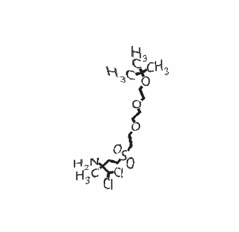 CC(C)(C)OCCOCCOCCS(=O)(=O)CCC(C)(N)C(Cl)Cl